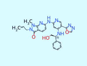 C=CCn1c(=O)c2ccc(Nc3cc(N[C@H](CO)c4ccccc4)c(-c4nnco4)cn3)nc2n1C